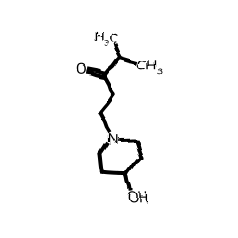 CC(C)C(=O)CCN1CCC(O)CC1